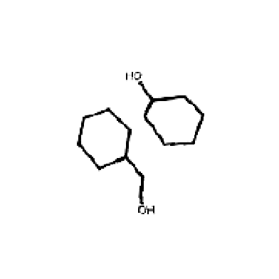 OC1CCCCC1.OCC1CCCCC1